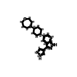 c1n[nH]cc1-c1n[nH]c2ncc([C@H]3CC[C@H](N4CCCOCC4)CC3)cc12